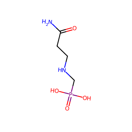 NC(=O)CCNCP(=O)(O)O